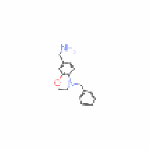 NCc1ccc2c(c1)OCCN2Cc1ccccc1